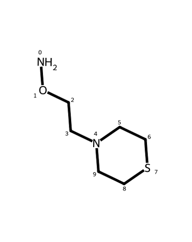 NOCCN1CCSCC1